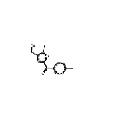 Cc1ccc(C(=O)c2nc(CO)c(C)o2)cc1